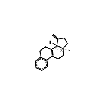 C=C1CC[C@@]2(C)CCC3=C(CCc4ccccc43)[C@H]12